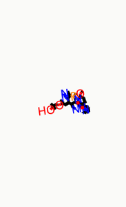 COc1ccc(CN2C3CC2CN(c2ccc(-c4cc(OCC(C)(C)O)cn5ncc(P(C)C)c45)cn2)C3)cn1